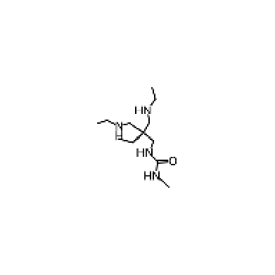 CCNCC(CC)(CNCC)CNC(=O)NC